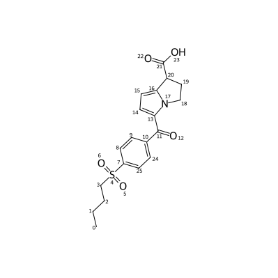 CCCCS(=O)(=O)c1ccc(C(=O)c2ccc3n2CCC3C(=O)O)cc1